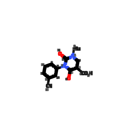 CCCCn1cc(C(=O)O)c(=O)n(-c2cccc(C#N)c2)c1=O